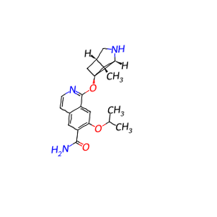 CC(C)Oc1cc2c(O[C@]34C[C@@H]5CN[C@H]3[C@@]54C)nccc2cc1C(N)=O